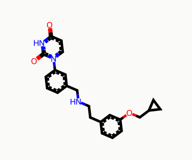 O=c1ccn(-c2cccc(CNCCc3cccc(OCC4CC4)c3)c2)c(=O)[nH]1